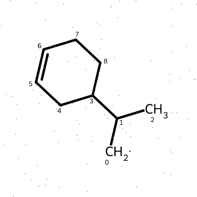 [CH2]C(C)C1CC=CCC1